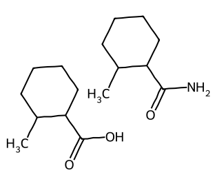 CC1CCCCC1C(=O)O.CC1CCCCC1C(N)=O